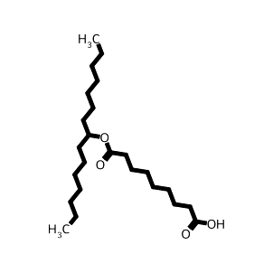 CCCCCCCC(CCCCCCC)OC(=O)CCCCCCCC(=O)O